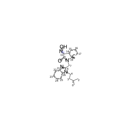 CC(C)CCn1c(CN2C(=O)/C(=N/O)c3ccccc32)nc2ccccc21